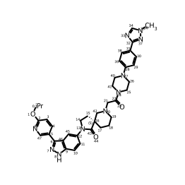 CC(C)Oc1ccc(-c2n[nH]c3ccc(N4CC[C@]5(CCCN(CC(=O)N6CCN(c7ccc(-c8ncn(C)n8)cc7)CC6)C5)C4=O)cc23)cn1